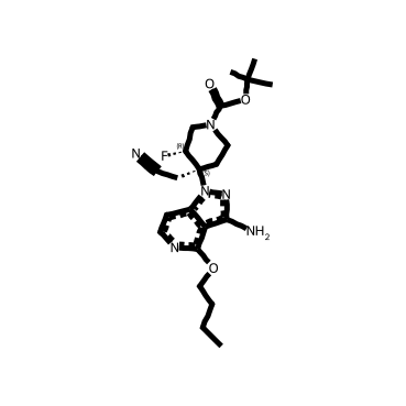 CCCCOc1nccc2c1c(N)nn2[C@]1(CC#N)CCN(C(=O)OC(C)(C)C)C[C@H]1F